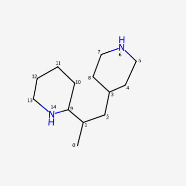 CC([CH]C1CCNCC1)C1CCCCN1